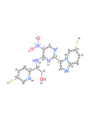 O=[N+]([O-])c1cnc(-c2cnc3ccc(F)cn23)nc1NC(CO)c1ccc(F)cn1